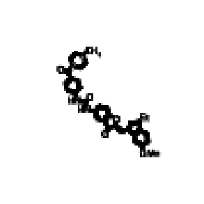 CCn1cc(C=C2Oc3ccc(NC(=O)Nc4ccc(C(=O)N5CCN(C)CC5)cc4)cc3C2=O)c2cc(OC)ccc21